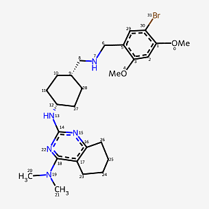 COc1cc(OC)c(CNC[C@H]2CC[C@@H](Nc3nc4c(c(N(C)C)n3)CCCC4)CC2)cc1Br